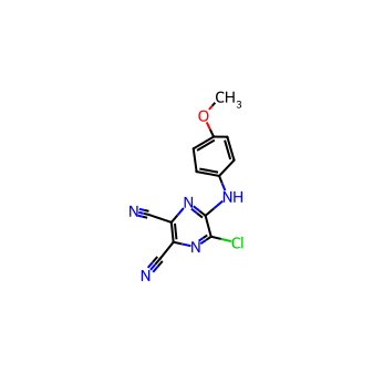 COc1ccc(Nc2nc(C#N)c(C#N)nc2Cl)cc1